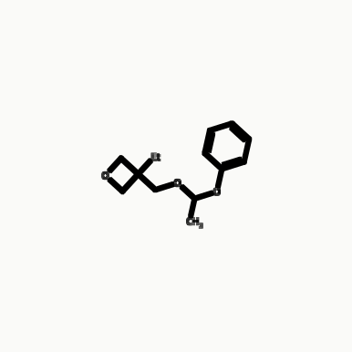 CCC1(COC(C)Oc2ccccc2)COC1